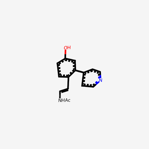 CC(=O)NC=Cc1ccc(O)cc1-c1ccncc1